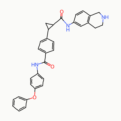 O=C(Nc1ccc(Oc2ccccc2)cc1)c1ccc(C2CC2C(=O)Nc2ccc3c(c2)CCNC3)cc1